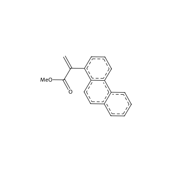 C=C(C(=O)OC)c1cccc2c1ccc1ccccc12